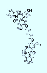 COc1cc2c(cc1OCCCCCOc1cc3c(cc1OC)C(=O)N1c4ccccc4C[C@H]1CN3CC(C)(C)S)N=C[C@@H]1Cc3ccccc3N1C2=O